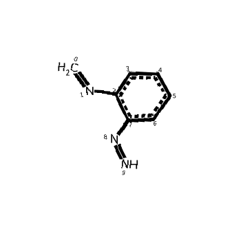 C=Nc1ccccc1N=N